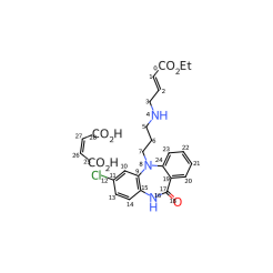 CCOC(=O)/C=C/CNCCCN1c2cc(Cl)ccc2NC(=O)c2ccccc21.O=C(O)/C=C\C(=O)O